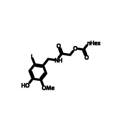 CCCCCCC(=O)OCC(=O)NCc1cc(OC)c(O)cc1I